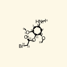 COc1cc(NI)cc(OC)c1OC(=O)CBr